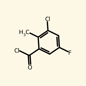 Cc1c(Cl)cc(F)cc1C(=O)Cl